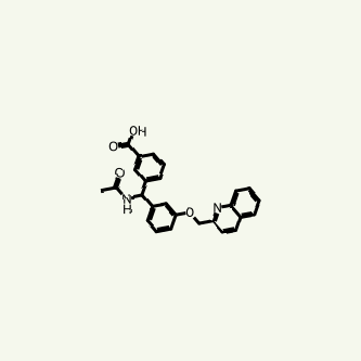 CC(=O)NC(c1cccc(OCc2ccc3ccccc3n2)c1)c1cccc(C(=O)O)c1